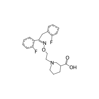 O=C(O)C1CCCN(CCON=C(Cc2ccccc2F)c2ccccc2F)C1